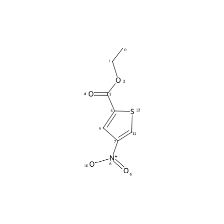 CCOC(=O)c1cc([N+](=O)[O-])cs1